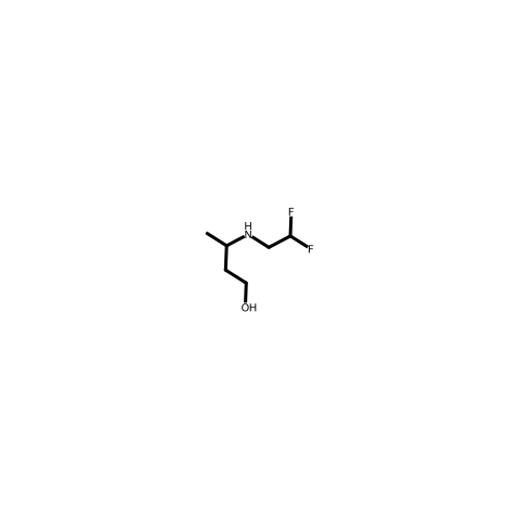 CC(CCO)NCC(F)F